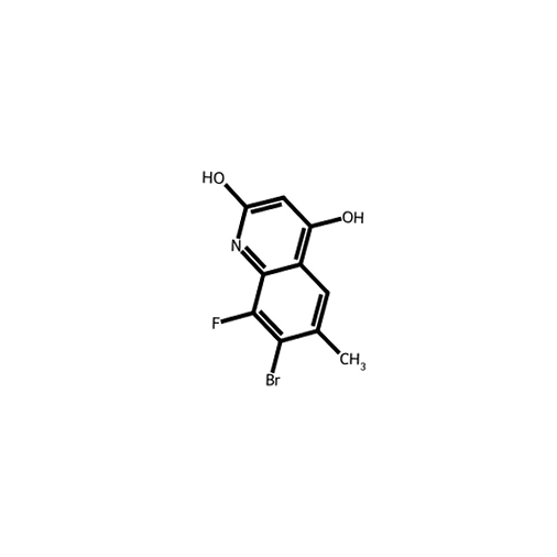 Cc1cc2c(O)cc(O)nc2c(F)c1Br